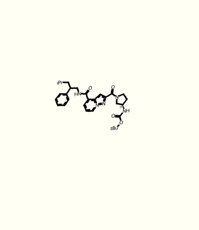 CC(C)CC(CNC(=O)c1cccn2nc(C(=O)N3CC[C@@H](NC(=O)OC(C)(C)C)C3)cc12)c1ccccc1